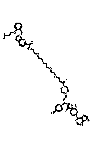 CN(C)CCOc1ccccc1Cn1cnc2ccc(C(=O)NCCOCCOCCOCCOCCC(=O)N3CCN(CC[C@H](NC(=O)C4(N)CCN(c5ncnc6[nH]ccc56)CC4)c4ccc(Cl)cc4)CC3)nc21